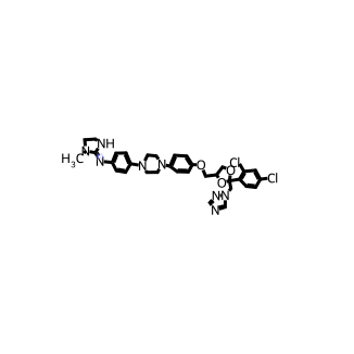 CN1CCN/C1=N\c1ccc(N2CCN(c3ccc(OCC4COC(Cn5cncn5)(c5ccc(Cl)cc5Cl)O4)cc3)CC2)cc1